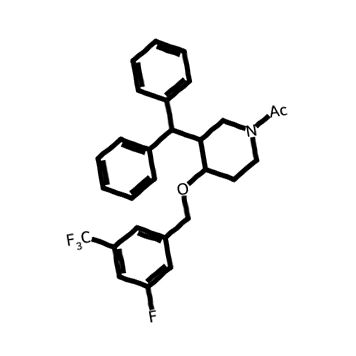 CC(=O)N1CCC(OCc2cc(F)cc(C(F)(F)F)c2)C(C(c2ccccc2)c2ccccc2)C1